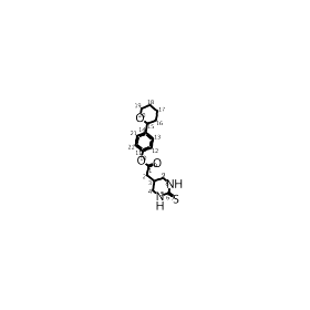 O=C(CC1CNC(=S)NC1)Oc1ccc(C2CCCCO2)cc1